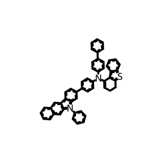 C1=C(N(c2ccc(-c3ccccc3)cc2)c2ccc(-c3ccc4c5cc6ccccc6cc5n(-c5ccccc5)c4c3)cc2)c2c(sc3ccccc23)CC1